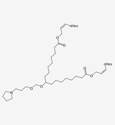 CCCCCC/C=C\COC(=O)CCCCCCCC(CCCCCCCC(=O)OC/C=C\CCCCCC)OCOCCCN1CCCC1